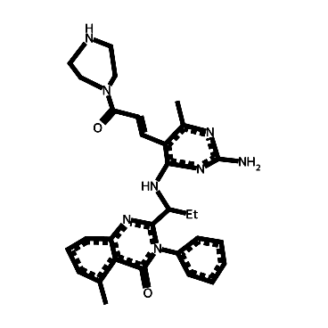 CCC(Nc1nc(N)nc(C)c1/C=C/C(=O)N1CCNCC1)c1nc2cccc(C)c2c(=O)n1-c1ccccc1